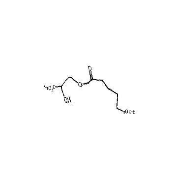 CCCCCCCCCCCCC(=O)OCC(O)C(=O)O